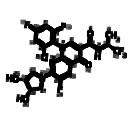 C[C@H](NC(=O)c1cn(-c2c(F)cc(F)cc2Cl)c2nc(N3C[C@@H](O)[C@H](O)C3)c(F)cc2c1=O)C(F)(F)F